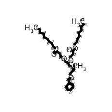 CCCCCCCCCOC(=O)CCOCC(CN(C)CCOCc1ccccc1)OCCC(=O)OCCCCCCCCC